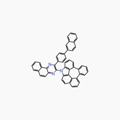 c1ccc2c(c1)-c1cccc3ccc4c(c13)c1c-2cccc1n4-c1nc2ccc3ccccc3c2nc1-c1ccc(-c2ccc3ccccc3c2)cc1